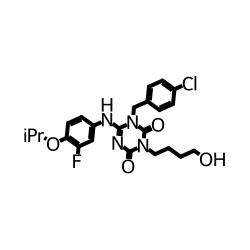 CC(C)Oc1ccc(Nc2nc(=O)n(CCCCO)c(=O)n2Cc2ccc(Cl)cc2)cc1F